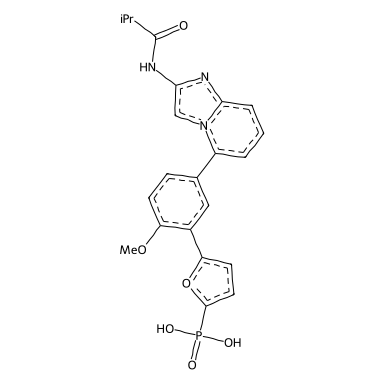 COc1ccc(-c2cccc3nc(NC(=O)C(C)C)cn23)cc1-c1ccc(P(=O)(O)O)o1